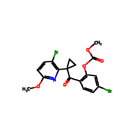 COC(=O)Oc1cc(Br)ccc1C(=O)C1(c2nc(OC)ccc2Br)CC1